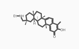 CCNC[C@]1(C)CC[C@]2(C)CC[C@]3(C)C4=CC=C5C(=CC(=O)C(O)=C5C)[C@]4(C)CC[C@@]3(C)[C@@H]2C1